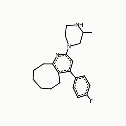 CC1CN(c2cc(-c3ccc(F)cc3)c3c(n2)CCCCCC3)CCN1